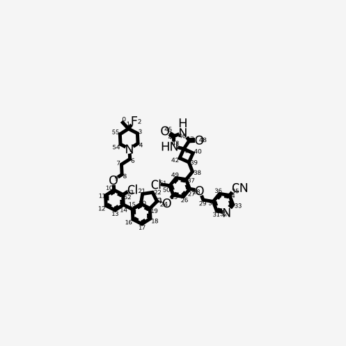 CC1(F)CCN(CCCOc2cccc(-c3cccc4c3CC[C@@H]4Oc3cc(OCc4cncc(C#N)c4)c(CC4CC5(C4)NC(=O)NC5=O)cc3Cl)c2Cl)CC1